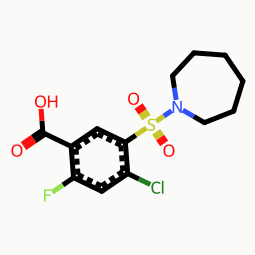 O=C(O)c1cc(S(=O)(=O)N2CCCCCC2)c(Cl)cc1F